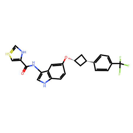 O=C(Nc1c[nH]c2ccc(O[C@H]3C[C@@H](c4ccc(C(F)(F)F)cc4)C3)cc12)C1=C[SH]=CN1